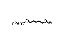 [CH2]CCCCOCCCCCOC(C)C